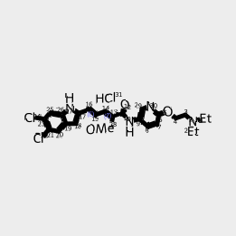 CCN(CC)CCOc1ccc(NC(=O)/C(=C/C=C/c2cc3cc(Cl)c(Cl)cc3[nH]2)OC)cn1.Cl